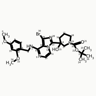 COc1ccc(CNc2nccn3c(C4(O)CCCN(C(=O)OC(C)(C)C)C4)nc(Br)c23)c(OC)c1